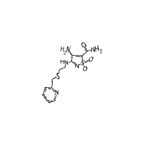 NC(=O)C1=C(N)C(NCCSCc2ccccn2)=NS1(=O)=O